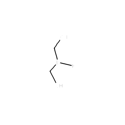 CCB(F)CC